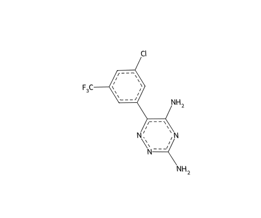 Nc1nnc(-c2cc(Cl)cc(C(F)(F)F)c2)c(N)n1